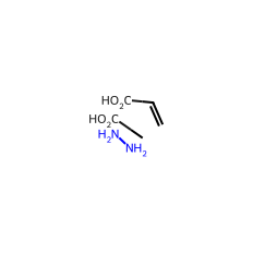 C=CC(=O)O.CC(=O)O.NN